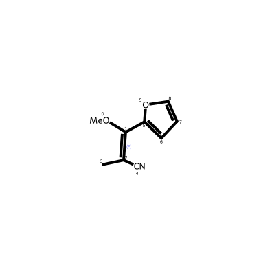 CO/C(=C(\C)C#N)c1ccco1